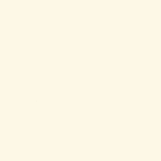 CC1=CCC(CC2CC=CC2)C1